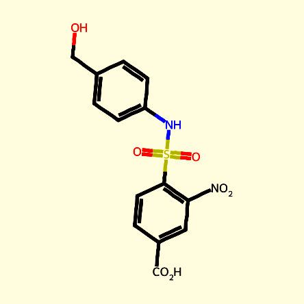 O=C(O)c1ccc(S(=O)(=O)Nc2ccc(CO)cc2)c([N+](=O)[O-])c1